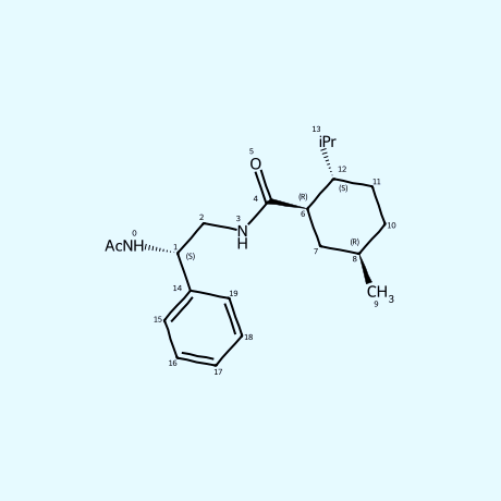 CC(=O)N[C@H](CNC(=O)[C@@H]1C[C@H](C)CC[C@H]1C(C)C)c1ccccc1